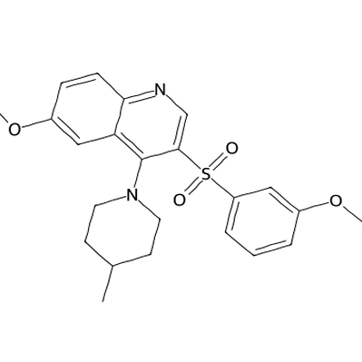 COc1cccc(S(=O)(=O)c2cnc3ccc(OC)cc3c2N2CCC(C)CC2)c1